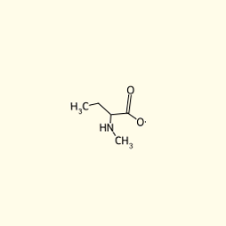 CCC(NC)C([O])=O